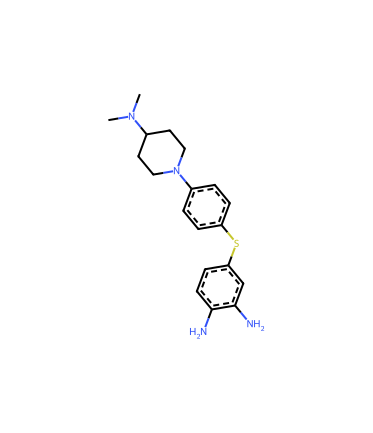 CN(C)C1CCN(c2ccc(Sc3ccc(N)c(N)c3)cc2)CC1